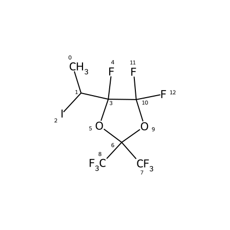 CC(I)C1(F)OC(C(F)(F)F)(C(F)(F)F)OC1(F)F